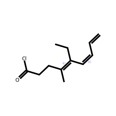 C=C/C=C\C(CC)=C(/C)CCC(=O)Cl